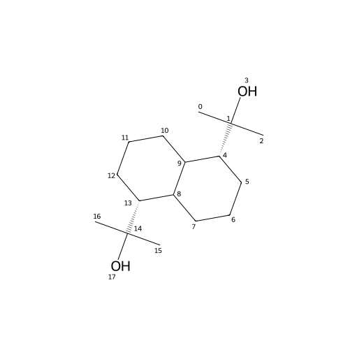 CC(C)(O)[C@@H]1CCCC2C1CCC[C@H]2C(C)(C)O